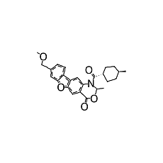 COCc1ccc2c(c1)oc1cc3c(cc12)N(C(=O)[C@H]1CC[C@H](C)CC1)C(C)OC3=O